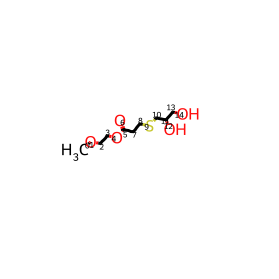 COCCOC(=O)CCSCC(O)CO